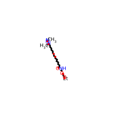 CCOCCOCCNC(=O)CCCCCCCCCCCCCCC/C(C)=N/N=N\C